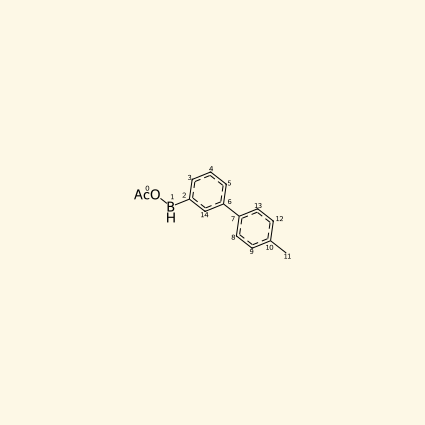 CC(=O)OBc1cccc(-c2ccc(C)cc2)c1